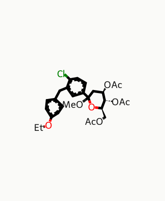 CCOc1ccc(Cc2cc(C3(OC)C[C@@H](OC(C)=O)[C@H](OC(C)=O)[C@@H](COC(C)=O)O3)ccc2Cl)cc1